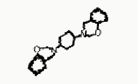 c1ccc2c(c1)CN(C1CCC(N3COc4ccccc4C3)CC1)CO2